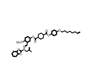 C=CCCCCCCOc1ccc(OC(=O)C2CCC(C(=O)Oc3ccc(OC)c(/C=N/N(CC(=C)C)c4nc5ccccc5s4)c3)CC2)cc1